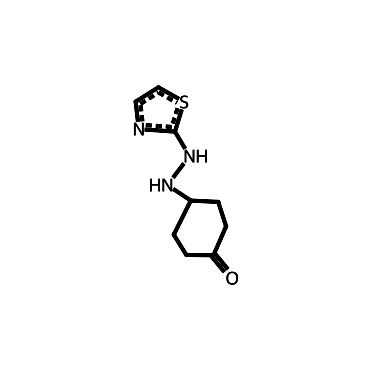 O=C1CCC(NNc2nccs2)CC1